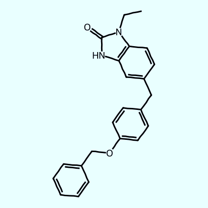 CCn1c(=O)[nH]c2cc(Cc3ccc(OCc4ccccc4)cc3)ccc21